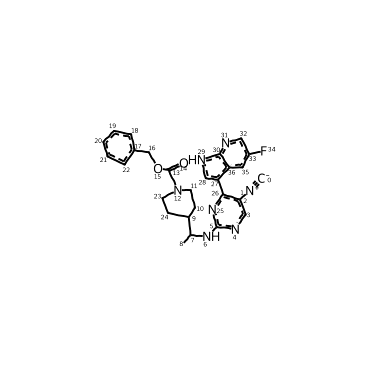 [C-]#[N+]c1cnc(NC(C)C2CCN(C(=O)OCc3ccccc3)CC2)nc1-c1c[nH]c2ncc(F)cc12